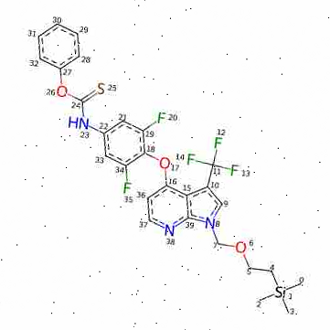 C[Si](C)(C)CCOCn1cc(C(F)(F)F)c2c(Oc3c(F)cc(NC(=S)Oc4ccccc4)cc3F)ccnc21